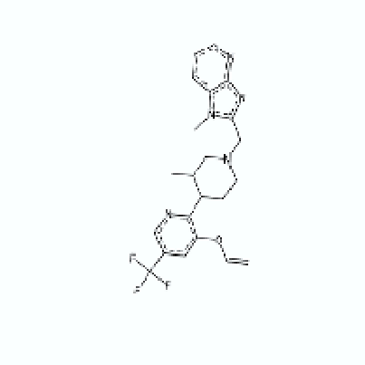 C=COc1cc(C(F)(F)F)cnc1C1CCN(Cc2nc3ncccc3n2C)CC1C